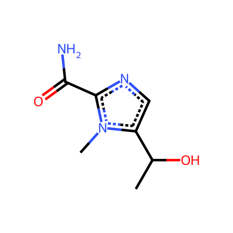 CC(O)c1cnc(C(N)=O)n1C